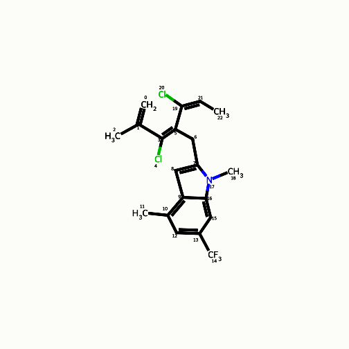 C=C(C)/C(Cl)=C(Cc1cc2c(C)cc(C(F)(F)F)cc2n1C)\C(Cl)=C/C